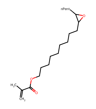 C=C(C)C(=O)OCCCCCCCCCC1OC1CCCCC